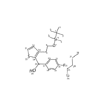 CC(C)(C)[Si](C)(C)OCCc1ccsc1C(O)c1ccc(F)cc1.[Li][CH2]CCC